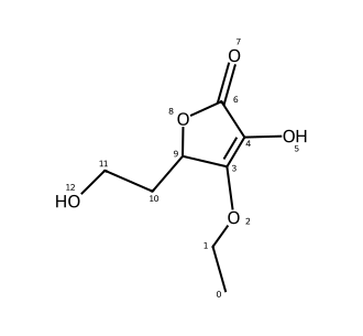 CCOC1=C(O)C(=O)OC1CCO